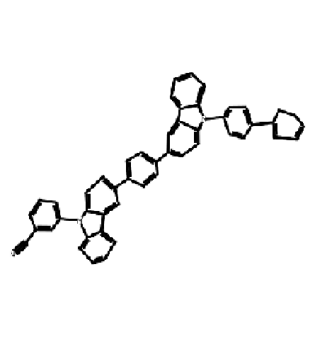 N#Cc1cccc(-n2c3ccccc3c3cc(-c4ccc(-c5ccc6c(c5)c5ccccc5n6-c5ccc(C6=CC=CCC6)cc5)cc4)ccc32)c1